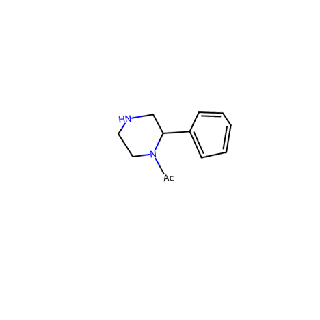 CC(=O)N1CCNCC1c1ccccc1